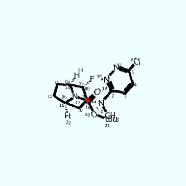 CN(c1ccc(Cl)nn1)[C@@H]1C[C@H]2CC[C@@H]([C@@H]1F)N2C(=O)OC(C)(C)C